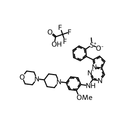 COc1cc(N2CCC(N3CCOCC3)CC2)ccc1Nc1ncc2ccc(-c3ccccc3[S+](C)[O-])n2n1.O=C(O)C(F)(F)F